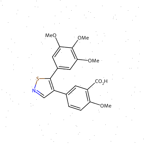 COc1ccc(-c2cnsc2-c2cc(OC)c(OC)c(OC)c2)cc1C(=O)O